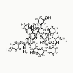 NCCCC[C@H](NC(=O)[C@@H](Cc1ccccc1)NC(=O)[C@H](Cc1ccc(O)cc1)NC(=O)[C@@H](Cc1c[nH]cn1)NC(=O)[C@H](Cc1c[nH]c2ccccc12)NC(=O)[C@@H](N)Cc1ccc(O)cc1)C(=O)N[C@@H](Cc1ccccc1)C(=O)O